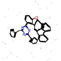 c1ccc(-c2nc(-c3ccccc3)nc(-c3cccc4oc5c6cccc7c6c(cc5c34)-c3ccccc3-7)n2)cc1